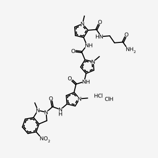 CN1c2cccc([N+](=O)[O-])c2CN1C(=O)Nc1cc(C(=O)Nc2cc(C(=O)Nc3ccn(C)c3C(=O)NCCC(N)=O)n(C)c2)n(C)c1.Cl.Cl